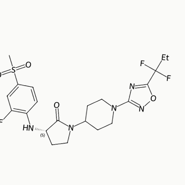 CCC(F)(F)c1nc(N2CCC(N3CC[C@H](Nc4ccc(S(C)(=O)=O)cc4F)C3=O)CC2)no1